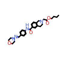 CCCCOC(=O)CN1CCc2cc(C(=O)Nc3ccc(/C=N/N4CCOCC4)cc3)ccc2C1